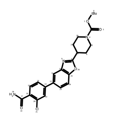 CC(C)(C)OC(=O)N1CCC(c2nc3cc(-c4ccc(C(N)=O)c(Cl)c4)ccc3o2)CC1